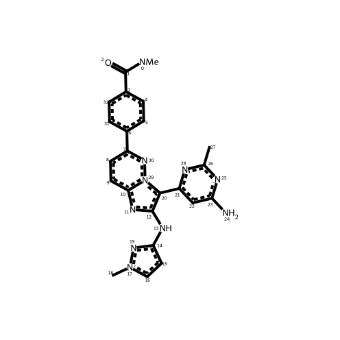 CNC(=O)c1ccc(-c2ccc3nc(Nc4ccn(C)n4)c(-c4cc(N)nc(C)n4)n3n2)cc1